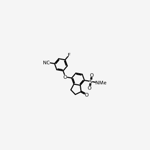 CNS(=O)(=O)c1ccc(Oc2cc(F)cc(C#N)c2)c2c1C(=O)CC2